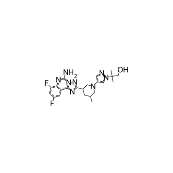 CC1CC(c2nc3c4cc(F)cc(F)c4nc(N)n3n2)CN(c2cnn(C(C)(C)CO)c2)C1